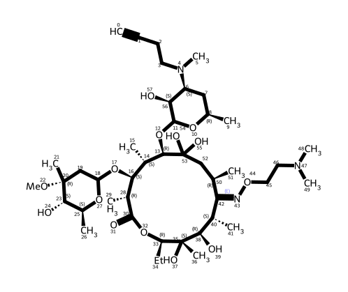 C#CCCN(C)[C@H]1C[C@@H](C)OC(O[C@@H]2[C@@H](C)[C@H](OC3C[C@@](C)(OC)[C@@H](O)[C@H](C)O3)[C@@H](C)C(=O)O[C@H](CC)[C@@](C)(O)[C@H](O)[C@@H](C)/C(=N/OCCN(C)C)[C@H](C)CC2(O)O)[C@H]1O